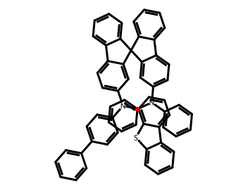 c1ccc(-c2ccc(N(c3ccc4c(c3)C3(c5ccccc5-c5ccc(N(c6ccccc6)c6ccccc6)cc53)c3ccccc3-4)c3cccc4c3sc3ccccc34)cc2)cc1